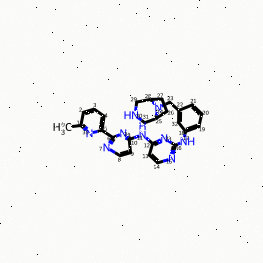 Cc1cccc(-c2nccc(Nc3ccnc(Nc4cccc(CN5C6CCC5CNC6)c4)n3)n2)n1